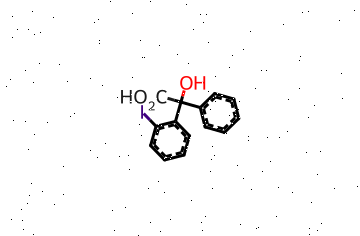 O=C(O)C(O)(c1ccccc1)c1ccccc1I